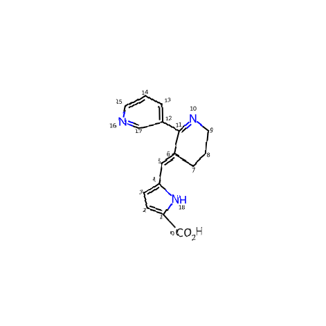 O=C(O)c1ccc(C=C2CCCN=C2c2cccnc2)[nH]1